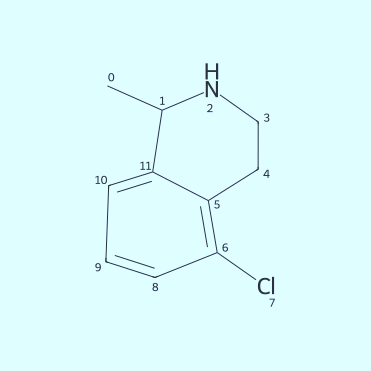 CC1NCCc2c(Cl)cccc21